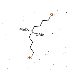 CO[Si](CCCCS)(CCCCS)OC